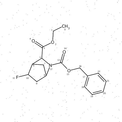 CCOC(=O)C1C2CC(CC2F)N1C(=O)OCc1ccccc1